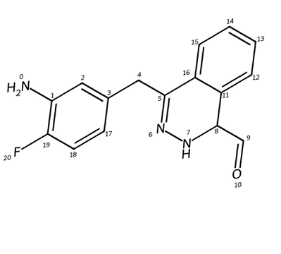 Nc1cc(CC2=NNC(C=O)c3ccccc32)ccc1F